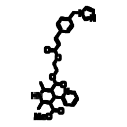 COC(=O)C1=C(C)NC(C)=C(C(=O)OCCOC(=O)C=Cc2ccc(Cn3ccnc3)cc2)C1c1ccccn1